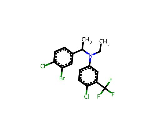 CCN(c1ccc(Cl)c(C(F)(F)F)c1)C(C)c1ccc(Cl)c(Br)c1